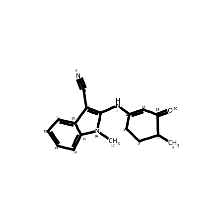 CC1CCC(Nc2c(C#N)c3ccccc3n2C)=CC1=O